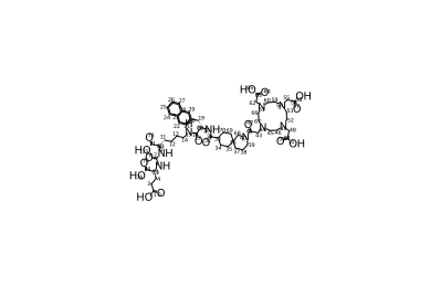 O=C(O)CC[C@H](NC(=O)N[C@@H](CCCCNC(=O)[C@H](Cc1ccc2ccccc2c1)NC(=O)C1CCC2(CCCN(C(=O)CN3CCN(CC(=O)O)CCN(CC(=O)O)CCN(CC(=O)O)CC3)C2)CC1)C(=O)O)C(=O)O